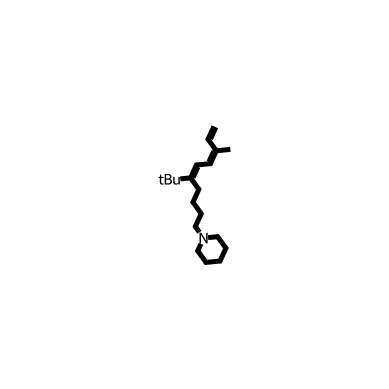 C=C/C(C)=C\C=C(/CCCCN1CCCCC1)C(C)(C)C